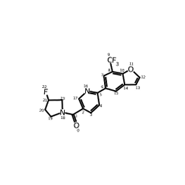 O=C(c1ccc(-c2cc(C(F)(F)F)c3occc3c2)nc1)N1CCC(F)C1